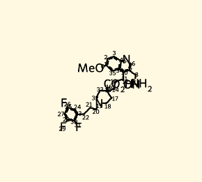 COc1ccc2ncc(CN)c(C(O)CCC3(C(=O)O)CCN(CCCc4cc(F)cc(F)c4F)CC3)c2c1